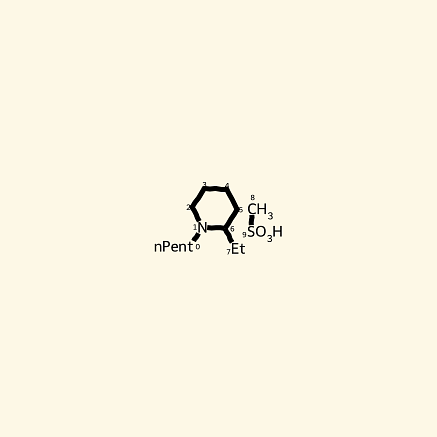 CCCCCN1CCCCC1CC.CS(=O)(=O)O